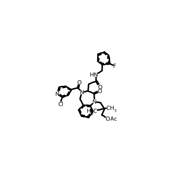 CC(=O)OCC(C)(C)CN1C(=O)C(CC(=O)NCc2ccccc2F)N(C(=O)c2ccnc(Cl)c2)Cc2ccccc21